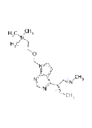 C/C=C(\C=N\C)c1ncnc2c1ccn2COCC[Si](C)(C)C